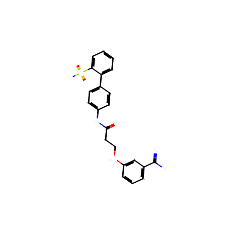 N=C(N)c1cccc(OCCC(=O)Nc2ccc(-c3ccccc3S(N)(=O)=O)cc2)c1